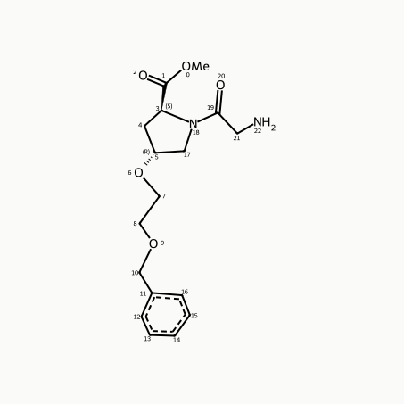 COC(=O)[C@@H]1C[C@@H](OCCOCc2ccccc2)CN1C(=O)CN